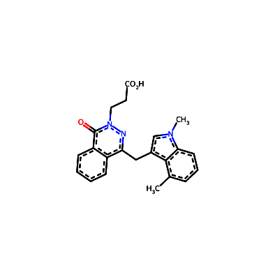 Cc1cccc2c1c(Cc1nn(CCC(=O)O)c(=O)c3ccccc13)cn2C